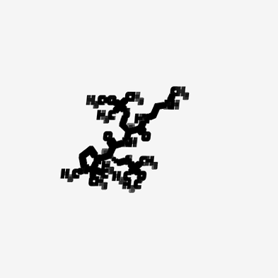 CNCCNC(=O)[C@H](CSC(C)(C)OC)NC(=O)[C@H](CSC(C)(C)OC)N1CCN(C)C1(C)C